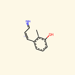 Cc1c(O)cccc1/C=C\C=N